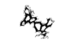 Cc1nc2c3cnncc3c3cc(-c4ccc5c(c4)c4sccc4c4nc(C)[nH]c54)ccc3c2[nH]1